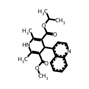 COC(=O)C1=C(C)NC(C)=C(C(=O)OC(C)C)C1c1ccnc2ccccc12